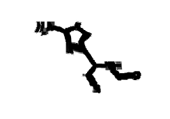 Nc1nc(C([C]=S)NC=O)cs1